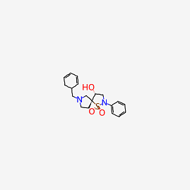 O=S1(=O)N(c2ccccc2)C[C@@H](O)[C@]12CCN(CC1C=CC=CC1)C2